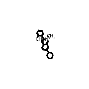 Cc1ccccc1-c1cc2ccc(C3CCCCC3)cc2c[n+]1C